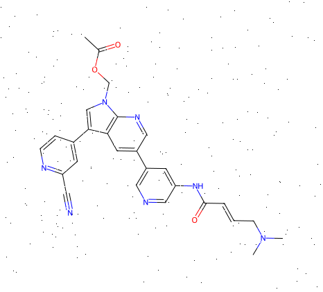 CC(=O)OCn1cc(-c2ccnc(C#N)c2)c2cc(-c3cncc(NC(=O)C=CCN(C)C)c3)cnc21